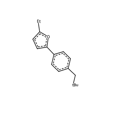 CCc1ccc(-c2ccc(CC(C)(C)C)cc2)o1